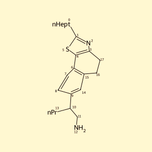 CCCCCCCc1nc2c(s1)-c1ccc(C(CN)CCC)cc1CC2